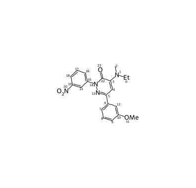 CCN(C)c1cc(-c2cccc(OC)c2)nn(-c2cccc([N+](=O)[O-])c2)c1=O